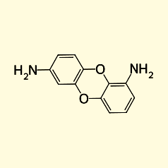 Nc1ccc2c(c1)Oc1cccc(N)c1O2